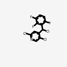 Fc1ccc(F)c(C(Cl)c2cc(Cl)ncc2Cl)c1F